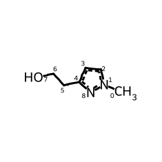 Cn1ccc([CH]CO)n1